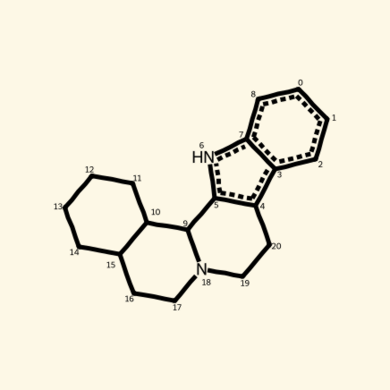 c1ccc2c3c([nH]c2c1)C1C2CCCCC2CCN1CC3